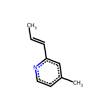 C/C=C/c1cc(C)ccn1